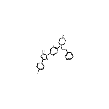 Fc1ccc(-c2c[nH]c(-c3ccc([N+]4(CCc5ccccc5)CCNCC4)nc3)n2)cc1